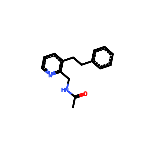 CC(=O)NCc1ncccc1CCc1ccccc1